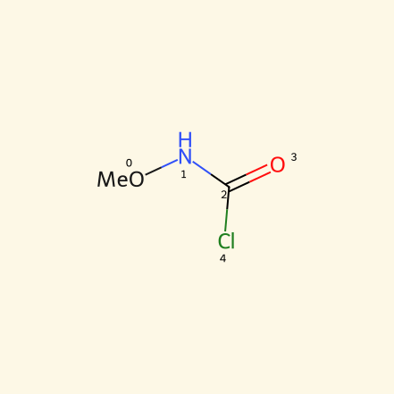 CONC(=O)Cl